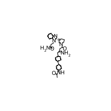 CC(=O)Nc1ccc(-c2ccc(C[C@@H](N)CC(=O)N3CCC[C@@H](c4nc5ccccc5n4CCC(N)=O)C3)cc2)cc1